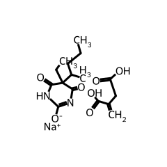 C=C(CC(=O)O)C(=O)O.CCCC(C)C1(CC)C(=O)N=C([O-])NC1=O.[Na+]